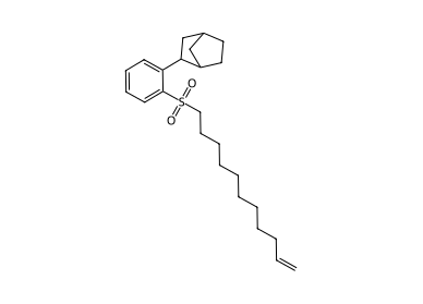 C=CCCCCCCCCCS(=O)(=O)c1ccccc1C1CC2CCC1C2